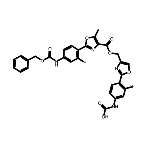 Cc1oc(-c2ccc(NC(=O)OCc3ccccc3)cc2F)nc1C(=O)OCc1coc(-c2ccc(NC(=O)O)cc2F)n1